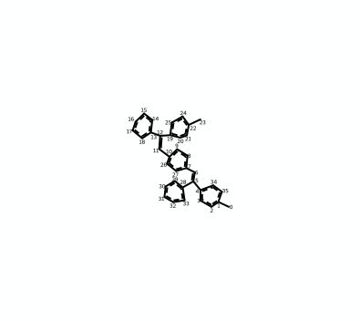 Cc1ccc(C(=Cc2ccc(C=C(c3ccccc3)c3ccc(C)cc3)cc2)c2ccccc2)cc1